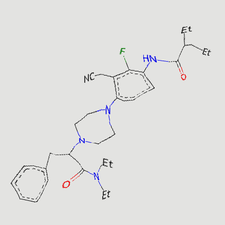 CCC(CC)C(=O)Nc1ccc(N2CCN(C(Cc3ccccc3)C(=O)N(CC)CC)CC2)c(C#N)c1F